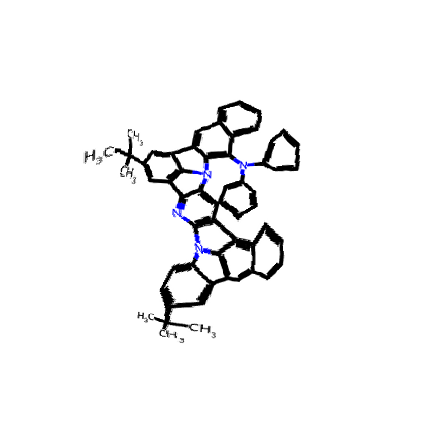 CC(C)(C)c1ccc2c(c1)c1cc3ccccc3c3c4cc5c(nc4n2c13)c1cc(C(C)(C)C)cc2c3cc4ccccc4c(N(c4ccccc4)c4ccccc4)c3n5c21